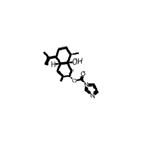 C=C(C)C1CC[C@@H](C)[C@]2(O)[C][C@@H](OC(=O)n3ccnc3)C(C)=C[C@H]12